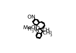 COc1cc(N=O)cc2c1OC1(/C=C\C=C/2)N(C)c2ccccc2C1(C)C